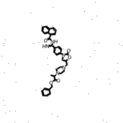 CC(C(=O)OCc1ccccc1)N1CCN(CC2CN(c3ccc(C(=N)NC(=O)c4cccc5ccccc45)cc3)C(=O)O2)CC1